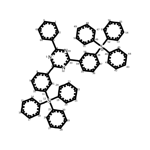 c1ccc(-c2nc(-c3cccc([Si](c4ccccc4)(c4ccccc4)c4ccccc4)c3)nc(-c3cccc(S(c4ccccc4)(c4ccccc4)c4ccccc4)c3)n2)cc1